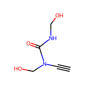 C#CN(CO)C(=O)NCO